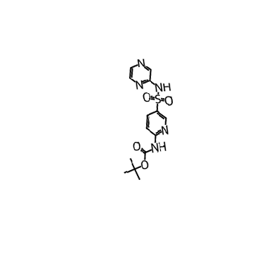 CC(C)(C)OC(=O)Nc1ccc(S(=O)(=O)Nc2cnccn2)cn1